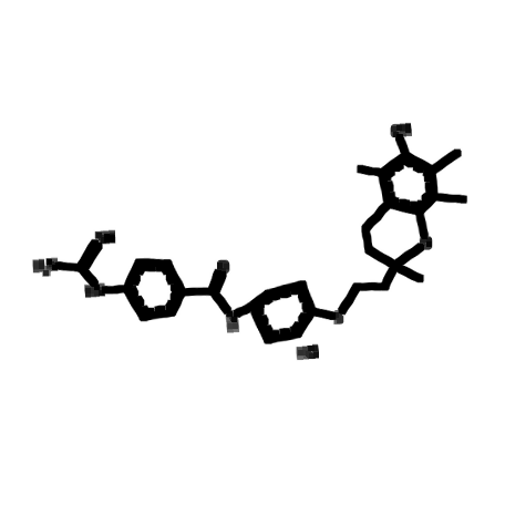 Cc1c(C)c2c(c(C)c1O)CCC(C)(CCSc1ccc(NC(=O)c3ccc(NC(=N)N)cc3)cc1)O2.Cl